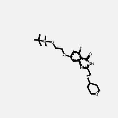 CC(C)(C)[Si](C)(C)OCCOc1cc(F)c2c(=O)[nH]c(CSC3CCOCC3)nc2c1